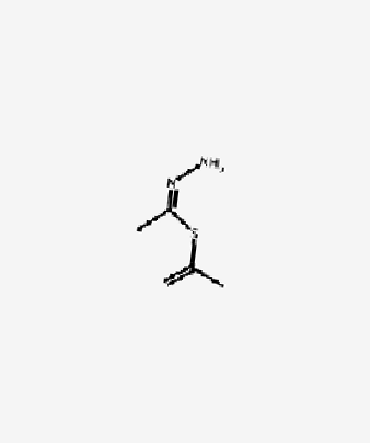 C=C(C)S/C(C)=N\N